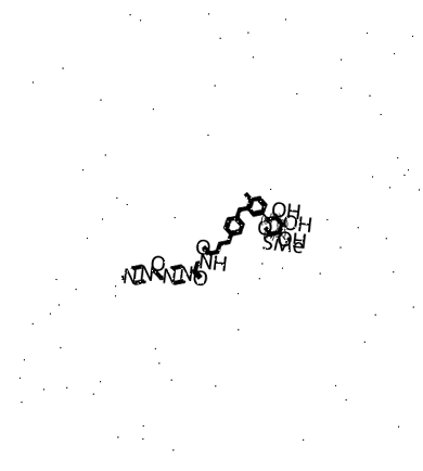 CS[C@H]1O[C@@H](c2ccc(C)c(Cc3ccc(CCCC(=O)NCC(=O)N4CCN(CC(=O)N5CCN(C)CC5)CC4)cc3)c2)[C@H](O)[C@@H](O)[C@@H]1O